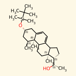 C[C@H](O)[C@H]1CCC2C3=CC=C4C[C@@H](O[Si](C)(C)C(C)(C)C)C[C@H](C)[C@]4(C)C3CC[C@@]21C